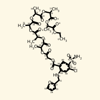 CCOC(=O)C(C)OC(=O)C(C)OC(=O)C(C)OC(=O)C(C)OC(=O)C(C)OC(=O)C(C)OC(=O)COC(=O)c1cc(S(N)(=O)=O)c(Cl)cc1NCc1ccco1